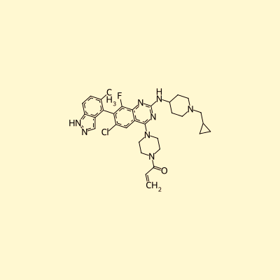 C=CC(=O)N1CCN(c2nc(NC3CCN(CC4CC4)CC3)nc3c(F)c(-c4c(C)ccc5[nH]ncc45)c(Cl)cc23)CC1